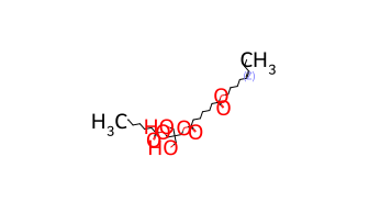 CC/C=C\CCCCOC(=O)CCCCCC(=O)OCC(CO)(CO)COC(=O)CCCCCC